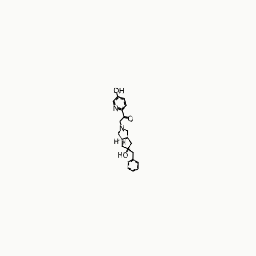 O=C(CN1CC2C[C@](O)(Cc3ccccc3)C[C@H]2C1)c1ccc(O)cn1